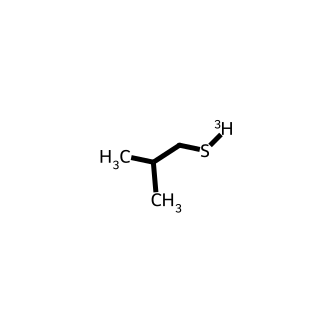 [3H]SCC(C)C